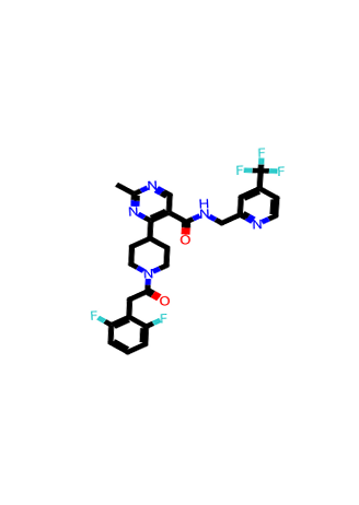 Cc1ncc(C(=O)NCc2cc(C(F)(F)F)ccn2)c(C2CCN(C(=O)Cc3c(F)cccc3F)CC2)n1